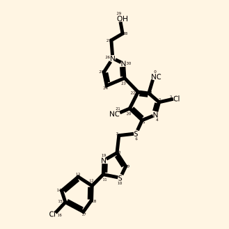 [C-]#[N+]c1c(Cl)nc(SCc2csc(-c3ccc(Cl)cc3)n2)c(C#N)c1-c1ccn(CCO)n1